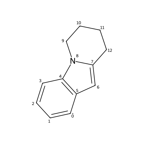 [c]1cccc2c1cc1n2CCCC1